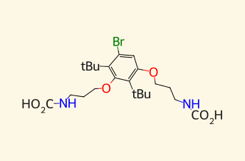 CC(C)(C)c1c(Br)cc(OCCCNC(=O)O)c(C(C)(C)C)c1OCCCNC(=O)O